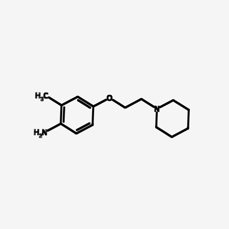 Cc1cc(OCCN2CCCCC2)ccc1N